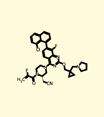 C=C(F)C(=O)N1CCN(c2nc(OCC3(CN4CCCC4)CC3)nc3c(F)c(-c4cccc5cccc(Cl)c45)ccc23)C[C@@H]1CC#N